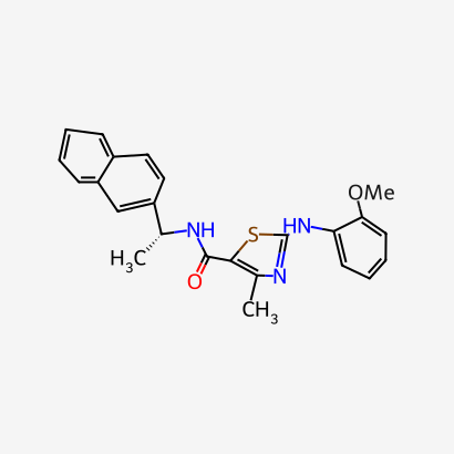 COc1ccccc1Nc1nc(C)c(C(=O)N[C@H](C)c2ccc3ccccc3c2)s1